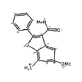 CNC(=O)c1c(-c2ccccc2)oc2c(C)cc(OC)cc12